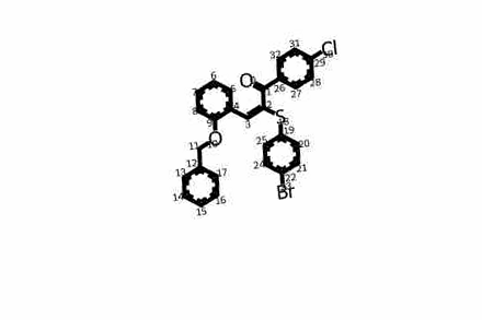 O=C(C(=Cc1ccccc1OCc1ccccc1)Sc1ccc(Br)cc1)c1ccc(Cl)cc1